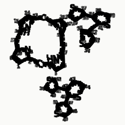 C1=Cc2cc3ccc(cc4nc(cc5ccc(cc1n2)[nH]5)C=C4)[nH]3.c1cc(-c2ccsc2-c2ccsc2)cs1.c1cc(-c2ccsc2-c2ccsc2)cs1